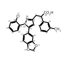 Cc1cccc(C(Cc2cc(-c3ccc4c(c3)OCO4)n(-c3ccccc3Cl)n2)C(=O)O)c1